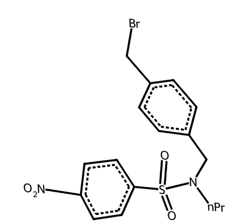 CCCN(Cc1ccc(CBr)cc1)S(=O)(=O)c1ccc([N+](=O)[O-])cc1